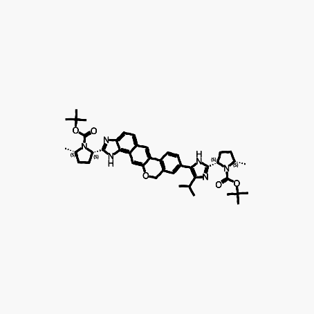 CC(C)c1nc([C@@H]2CC[C@H](C)N2C(=O)OC(C)(C)C)[nH]c1-c1ccc2c(c1)COc1cc3c(ccc4nc([C@@H]5CC[C@H](C)N5C(=O)OC(C)(C)C)[nH]c43)cc1-2